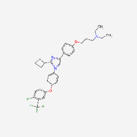 CCN(CC)CCCOc1ccc(-c2cn(C3=CCC(Oc4ccc(F)c(C(F)(F)F)c4)C=C3)c(C3CCC3)n2)cc1